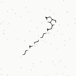 COCCOC(=O)NCCOCCNC(=O)CC1SCC2CC(=O)NC21